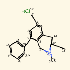 CCN1Cc2c(cc(C)cc2-c2ccccc2)CC1C.Cl